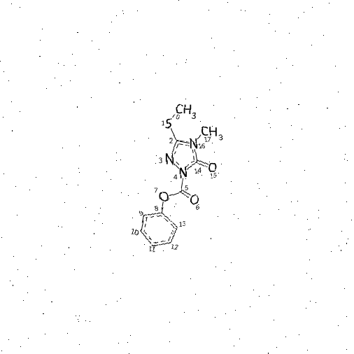 CSc1nn(C(=O)Oc2ccccc2)c(=O)n1C